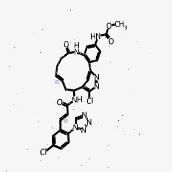 COC(=O)Nc1ccc2c(c1)NC(=O)CC/C=C/CC(NC(=O)/C=C/c1cc(Cl)ccc1-n1cnnn1)c1cc-2nnc1Cl